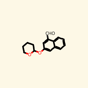 O=Cc1cc(OC2CCCCO2)cc2ccccc12